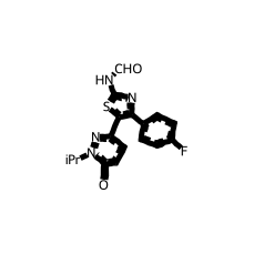 CC(C)n1nc(-c2sc(NC=O)nc2-c2ccc(F)cc2)ccc1=O